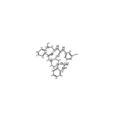 Cc1cccc(NC(=O)NC2CN(C)c3ccccc3C(CN3CCC4(CC3)OC(=O)Nc3ccccc34)=N2)c1